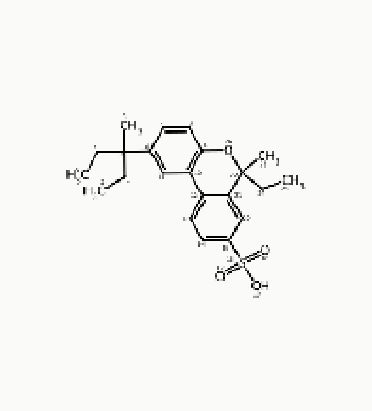 CCC(C)(CC)c1ccc2c(c1)-c1ccc(S(=O)(=O)O)cc1C(C)(CC)O2